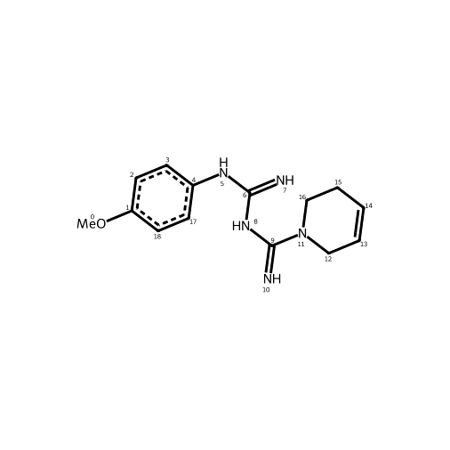 COc1ccc(NC(=N)NC(=N)N2CC=CCC2)cc1